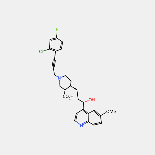 COc1ccc2nccc([C@@H](O)CC[C@@H]3CCN(CC#Cc4ccc(F)cc4Cl)C[C@@H]3C(=O)O)c2c1